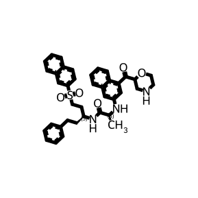 C[C@H](Nc1cc(C(=O)C2CNCCO2)c2ccccc2c1)C(=O)N[C@@H](CCc1ccccc1)CCS(=O)(=O)c1ccc2ccccc2c1